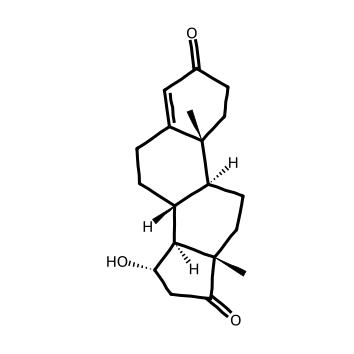 C[C@]12CCC(=O)C=C1CC[C@H]1[C@@H]3[C@@H](O)CC(=O)[C@@]3(C)CC[C@@H]12